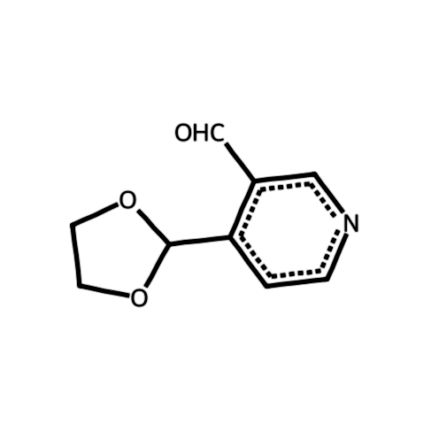 O=Cc1cnccc1C1OCCO1